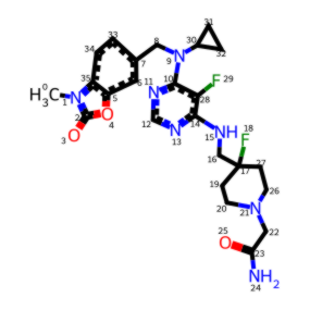 Cn1c(=O)oc2cc(CN(c3ncnc(NCC4(F)CCN(CC(N)=O)CC4)c3F)C3CC3)ccc21